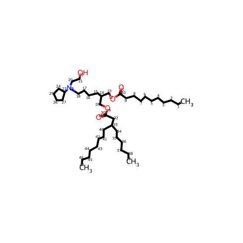 CCCCCCCCCCC(=O)OCC(CCCCN(CCO)C1CCCC1)COC(=O)CC(CCCCCC)CCCCCCCC